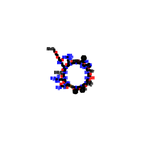 COCCOCCOCCC(=O)NCCCC[C@@H]1NC(=O)[C@H](CCCNC(=N)N)NC(=O)[C@H](C)N(C)C(=O)[C@H](Cc2c[nH]c3ccccc23)NC(=O)[C@H](Cc2cnc[nH]2)NC(=O)[C@H](CC(C)C)NC(=O)[C@H](CO)NC(=O)[C@H](C)N(C)C(=O)[C@H](Cc2ccccc2)N(C)C(=O)[C@H](Cc2ccccc2)NC(=O)CSC[C@@H](C(=O)NCC(N)=O)NC(=O)[C@H](CCCNC(=N)N)NC(=O)[C@H](CC(=O)O)NC1=O